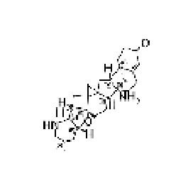 C[C@@H]1CN[C@H]2[C@H]3CC45CC46C[C@H]4[C@@](N)(CCC7=CC(=O)CC[C@@]74C)[C@@H]6CC[C@@]35O[C@@H]2C1